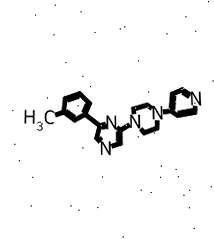 Cc1cccc(-c2cncc(N3CCN(c4ccncc4)CC3)n2)c1